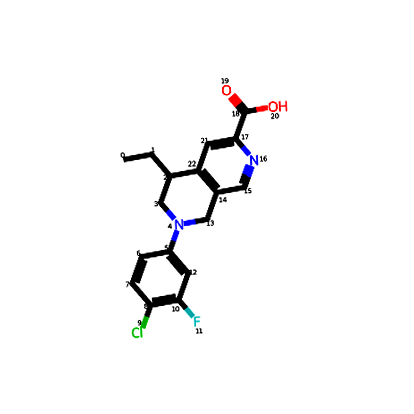 CCC1CN(c2ccc(Cl)c(F)c2)Cc2cnc(C(=O)O)cc21